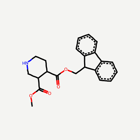 COC(=O)C1CNCCC1C(=O)OCC1c2ccccc2-c2ccccc21